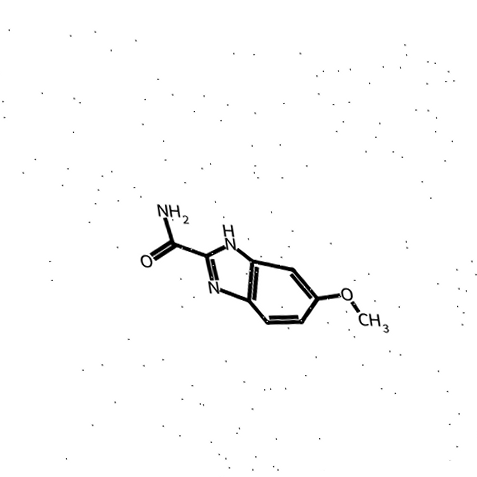 COc1ccc2nc(C(N)=O)[nH]c2c1